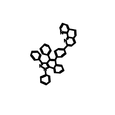 c1ccc(-c2nn(-c3ccccc3)c3c2c(-c2ccccc2)c(-c2ccc(-c4ccc5ccc6cccnc6c5n4)cc2)c2ccccc23)cc1